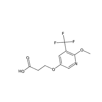 COc1ncc(OCCC(=O)O)cc1C(F)(F)F